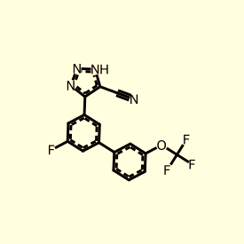 N#Cc1[nH]nnc1-c1cc(F)cc(-c2cccc(OC(F)(F)F)c2)c1